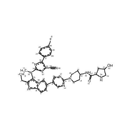 CCc1nc2ccc(-c3cnc(N4CCC(NC(=O)C5CC(O)CN5)CC4)nc3)cn2c1N(C)c1nc(-c2ccc(F)cc2)c(C#N)s1